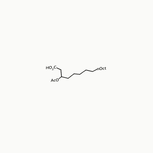 CCCCCCCCCCCCCC(CC(=O)O)OC(C)=O